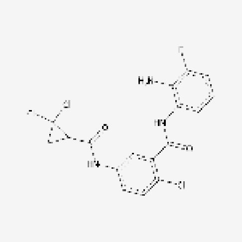 Nc1c(F)cccc1NC(=O)c1cc(NC(=O)C2CC2(Cl)Cl)ccc1Cl